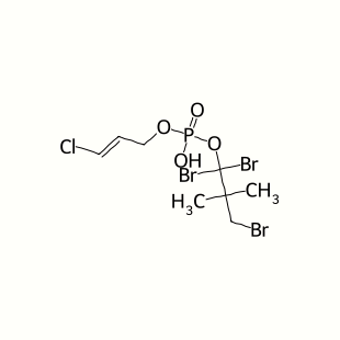 CC(C)(CBr)C(Br)(Br)OP(=O)(O)OCC=CCl